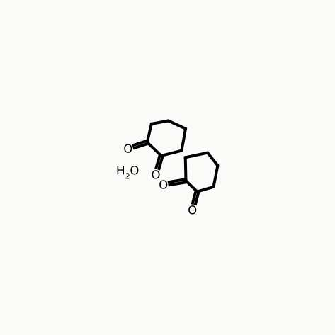 O.O=C1CCCCC1=O.O=C1CCCCC1=O